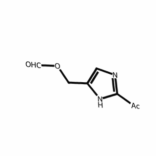 CC(=O)c1ncc(COC=O)[nH]1